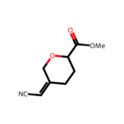 COC(=O)C1CCC(=CC#N)CO1